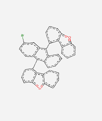 Brc1ccc2c(-c3cccc4oc5ccccc5c34)c3ccccc3c(-c3cccc4oc5ccccc5c34)c2c1